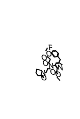 CCOC(=O)CC(=O)N(CCCN1CCCCC1=O)c1cc(Cc2ccc(F)cc2)cnc1C(=O)OCC